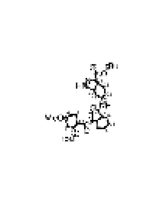 CCCCOc1cc(OC)ccc1C(=O)Nc1ccccc1C(=O)Nc1ccc2c(C(=O)OC(C)(C)C)n[nH]c2c1